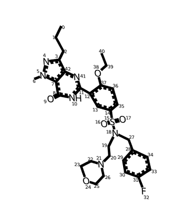 CCCc1nn(C)c2c(=O)[nH]c(-c3cc(S(=O)(=O)N(CCN4CCOCC4)Cc4ccc(F)cc4)ccc3OCC)nc12